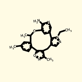 CCn1ncc2c1-c1cnc(N)c(c1)OC(C)c1cc(C)ccc1-c1onc(C)c1C2